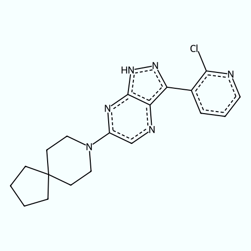 Clc1ncccc1-c1n[nH]c2nc(N3CCC4(CCCC4)CC3)cnc12